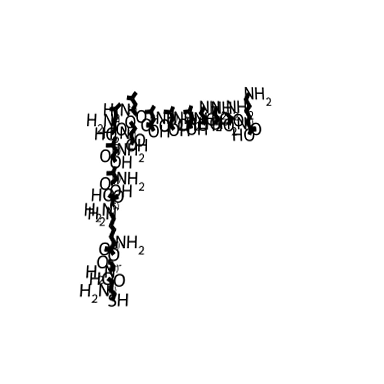 CC(C)C[C@H](N)C(=O)O.CC(C)C[C@H](N)C(=O)OC[C@H](N)C(=O)O.CC(C)[C@H](N)C(=O)O.CC(C)[C@H](N)C(=O)O.CC(C)[C@H](N)C(=O)O.CC(C)[C@H](N)C(=O)O.CC(C)[C@H](N)C(=O)O.C[C@H](N)C(=O)O.C[C@H](N)C(=O)OC(=O)[C@@H](N)CCCCN.NCC(=O)O.NCC(=O)O.NCC(=O)O.NCCCC[C@H](N)C(=O)O.N[C@@H](CS)C(=O)O